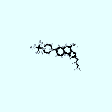 CCNCc1cc2c(N)nc3cc(N4CCN(C(C)(C)C)CC4)ccc3c2o1